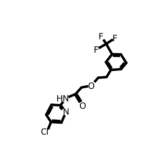 O=C(COCCc1cccc(C(F)(F)F)c1)Nc1ccc(Cl)cn1